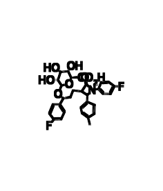 Cc1ccc(C2C(CC[C@H](OC3O[C@H](C(=O)O)[C@@H](O)[C@H](O)[C@H]3O)c3ccc(F)cc3)C(=O)N2c2ccc(F)cc2)cc1